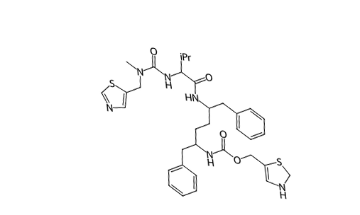 CC(C)C(NC(=O)N(C)Cc1cncs1)C(=O)NC(CCC(Cc1ccccc1)NC(=O)OCC1=CNCS1)Cc1ccccc1